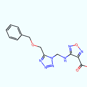 O=C(O)c1nonc1NCn1nnnc1COCc1ccccc1